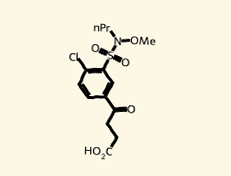 CCCN(OC)S(=O)(=O)c1cc(C(=O)CCC(=O)O)ccc1Cl